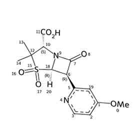 COc1ccnc([C@@H]2C(=O)N3[C@@H](C(=O)O)C(C)(C)S(=O)(=O)[C@H]23)c1